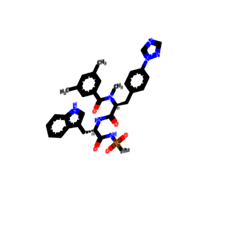 CCCCS(=O)(=O)NC(=O)[C@H](Cc1c[nH]c2ccccc12)NC(=O)[C@H](Cc1ccc(-n2cncn2)cc1)N(C)C(=O)c1cc(C)cc(C)c1